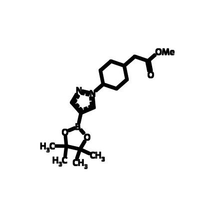 COC(=O)CC1CCC(n2cc(B3OC(C)(C)C(C)(C)O3)cn2)CC1